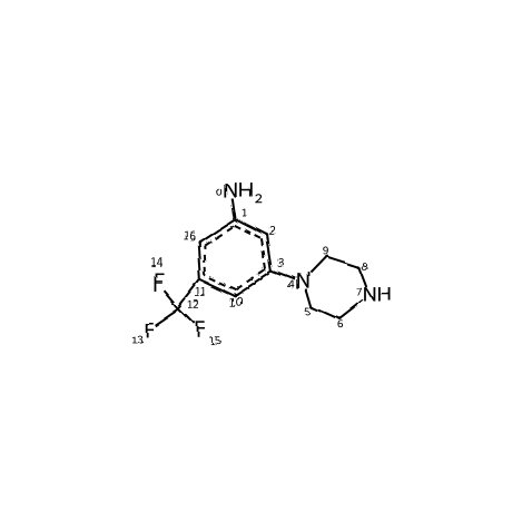 Nc1cc(N2CCNCC2)cc(C(F)(F)F)c1